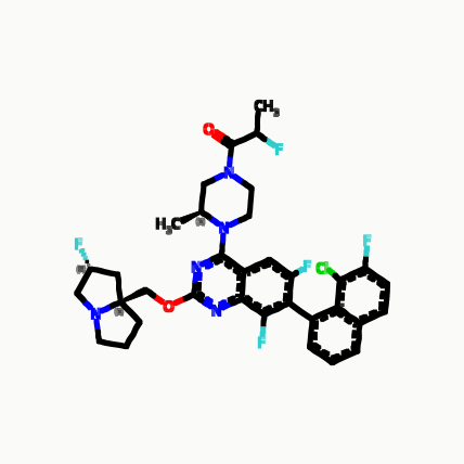 CC(F)C(=O)N1CCN(c2nc(OC[C@@]34CCCN3C[C@H](F)C4)nc3c(F)c(-c4cccc5ccc(F)c(Cl)c45)c(F)cc23)[C@@H](C)C1